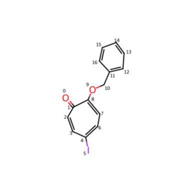 O=c1ccc(I)ccc1OCc1ccccc1